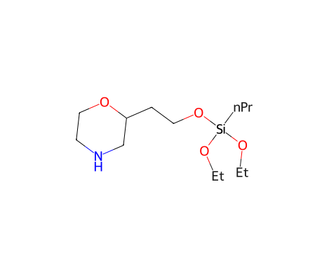 CCC[Si](OCC)(OCC)OCCC1CNCCO1